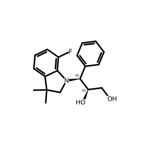 CC1(C)CN([C@@H](c2ccccc2)[C@H](O)CO)c2c(F)cccc21